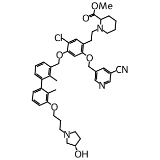 COC(=O)C1CCCCN1CCc1cc(Cl)c(OCc2cccc(-c3cccc(OCCCN4CC[C@@H](O)C4)c3C)c2C)cc1OCc1cncc(C#N)c1